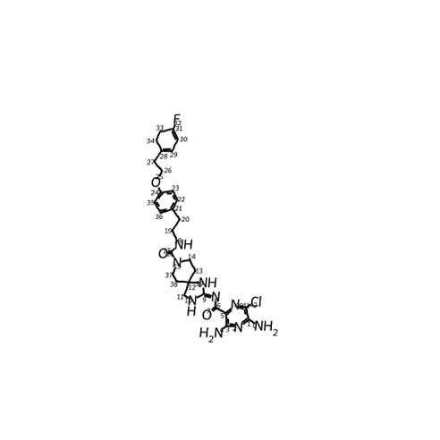 Nc1nc(N)c(C(=O)/N=C2\NCC3(CCN(C(=O)NCCc4ccc(OCCC5=CC=C(F)CC5)cc4)CC3)N2)nc1Cl